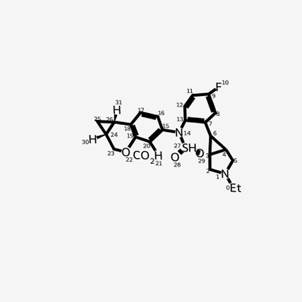 CCN1CC2C(C1)C2c1cc(F)ccc1N(c1ccc2c(c1C(=O)O)OC[C@@H]1C[C@H]21)[SH](=O)=O